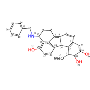 COC1C2=C(C=CC3=C4CCC(NCc5ccccc5)c5c(O)ccc(c54)C32)C=C(O)C1O